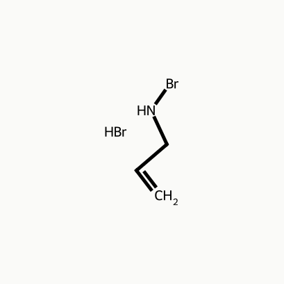 Br.C=CCNBr